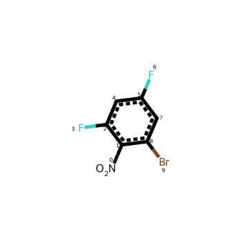 O=[N+]([O-])c1c(F)cc(F)cc1Br